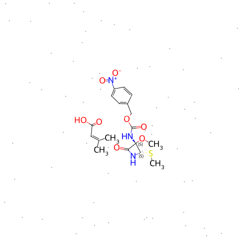 CC(C)=CC(=O)O.CO[C@@]1(NC(=O)OCc2ccc([N+](=O)[O-])cc2)C(=O)N[C@H]1SC